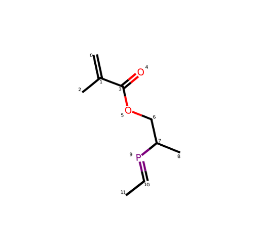 C=C(C)C(=O)OCC(C)P=CC